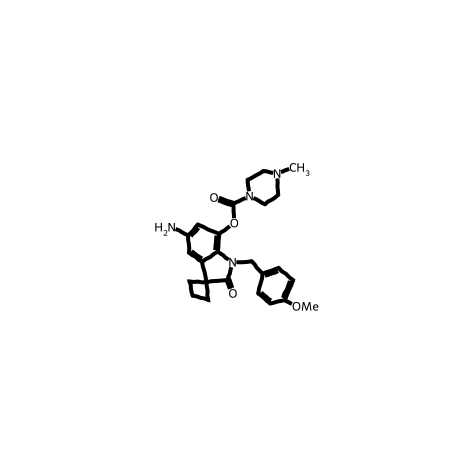 COc1ccc(CN2C(=O)C3(CCC3)c3cc(N)cc(OC(=O)N4CCN(C)CC4)c32)cc1